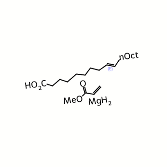 C=CC(=O)OC.CCCCCCCC/C=C/CCCCCCCC(=O)O.[MgH2]